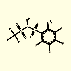 Cc1c(F)c(F)c(F)c(I)c1S(=O)(=O)N(O)S(=O)(=O)C(F)(F)F